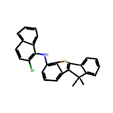 CC1(C)c2ccccc2-c2sc3c(Nc4c(Br)ccc5ccccc45)cccc3c21